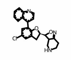 Clc1cc2c(c(-c3ccnc4ccccc34)c1)O[C@@H](C1ON=C3CCNCC31)C2